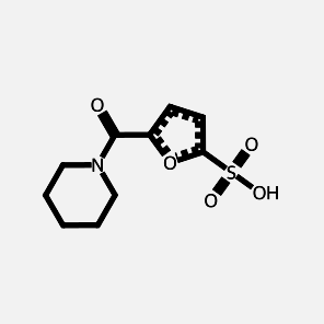 O=C(c1ccc(S(=O)(=O)O)o1)N1CCCCC1